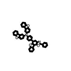 c1ccc(-c2nc3cc(-c4ccc(N(c5ccc6oc7ccccc7c6c5)c5ccc6oc7ccccc7c6c5)cc4)c4oc5ccccc5c4c3o2)cc1